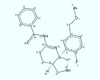 CC(C)OCc1ccc(F)c([C@]23CNC[C@H]2CSC(NC(=O)c2ccccc2)=N3)c1